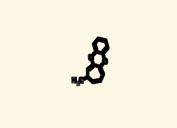 CC1C=CC=C2Oc3ccccc3OC2=C1